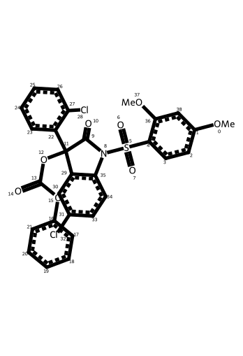 COc1ccc(S(=O)(=O)N2C(=O)C(OC(=O)Oc3ccccc3)(c3ccccc3Cl)c3cc(Cl)ccc32)c(OC)c1